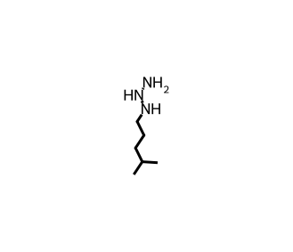 CC(C)CCCNNN